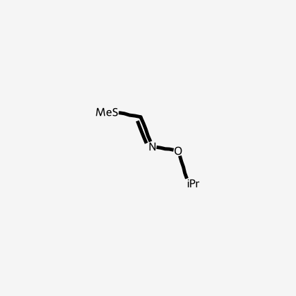 CS/C=N/OC(C)C